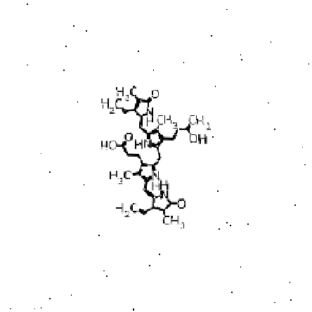 C=CC1=C(C)C(=O)N/C1=C\c1[nH]c(Cc2[nH]c(/C=C3\NC(=O)C(C)=C3C=C)c(C)c2CCC(=O)O)c(CCC(=C)O)c1C